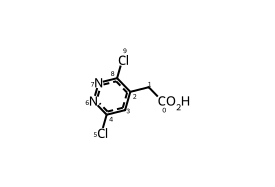 O=C(O)Cc1cc(Cl)nnc1Cl